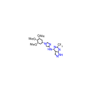 COc1cc(-n2cnc(Nc3nc(C(F)(F)F)nc4[nH]ncc34)c2)cc(OC)c1OC